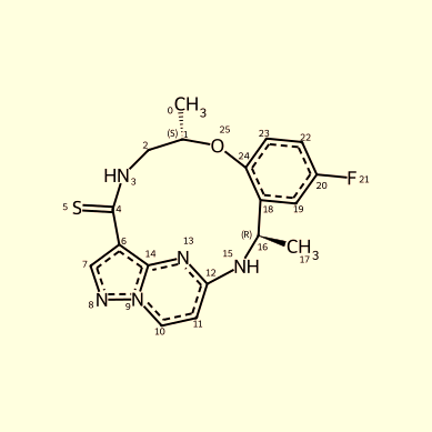 C[C@H]1CNC(=S)c2cnn3ccc(nc23)N[C@H](C)c2cc(F)ccc2O1